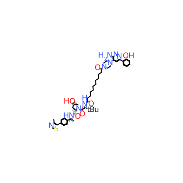 Cc1ncsc1-c1ccc([C@H](C)NC(=O)[C@@H]2C[C@@H](O)CN2C(=O)[C@@H](NC(=O)CCCCCCCCCCC(=O)N2CCN(c3cc(-c4ccccc4O)nnc3N)CC2)C(C)(C)C)cc1